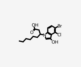 CCCCCCC(CC(=O)O)n1cc(O)c2c(Cl)c(Br)ccc21